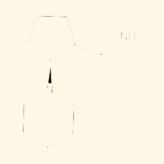 NCC1CCC[C@@H]1N1CCCCC1